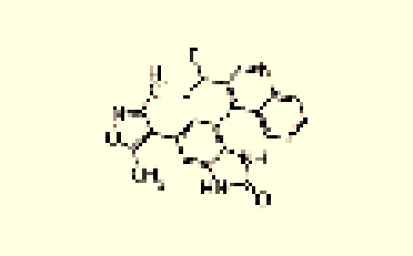 Cc1noc(C)c1-c1cc(-c2c(C(F)F)cnc3ccccc23)c2[nH]c(=O)[nH]c2c1